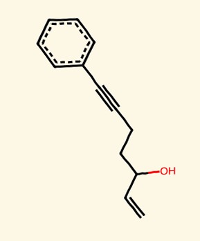 C=CC(O)CCC#Cc1ccccc1